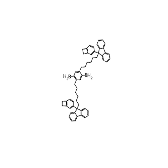 Bc1cc(CCCCCCC2(c3ccc4c(c3)CC4)c3ccccc3-c3ccccc32)c(B)cc1CCCCCCC1(c2ccc3c(c2)CC3)c2ccccc2-c2ccccc21